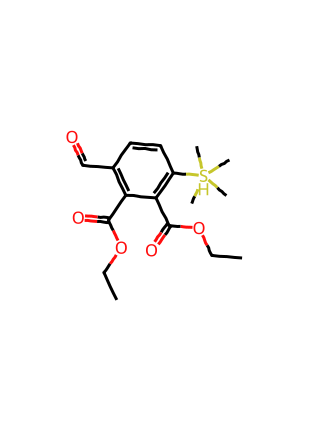 CCOC(=O)c1c(C=O)ccc([SH](C)(C)(C)C)c1C(=O)OCC